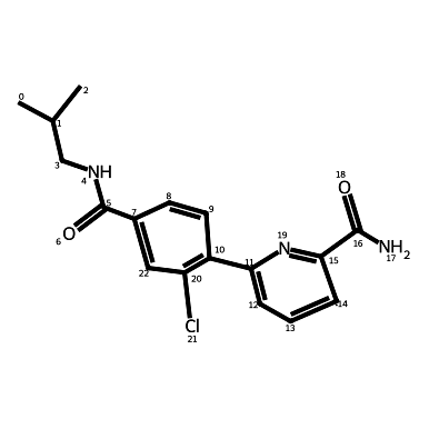 CC(C)CNC(=O)c1ccc(-c2cc[c]c(C(N)=O)n2)c(Cl)c1